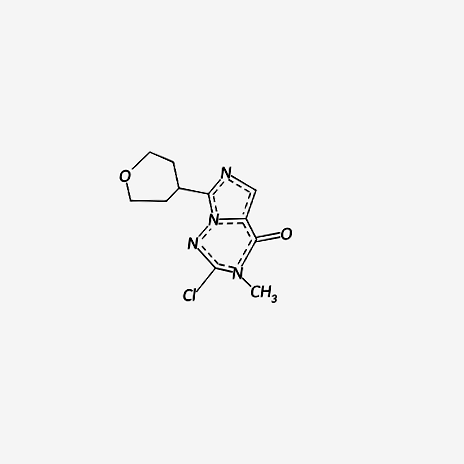 Cn1c(Cl)nn2c(C3CCOCC3)ncc2c1=O